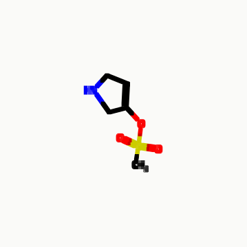 CS(=O)(=O)OC1=CCNC1